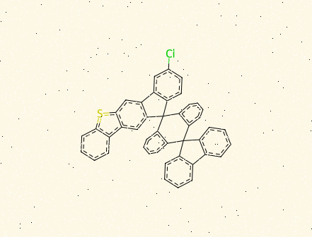 Clc1ccc2c(c1)-c1cc3sc4ccccc4c3cc1C21c2ccccc2C2(c3ccccc3-c3ccccc32)c2ccccc21